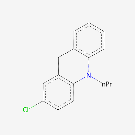 CCCN1c2ccccc2Cc2cc(Cl)ccc21